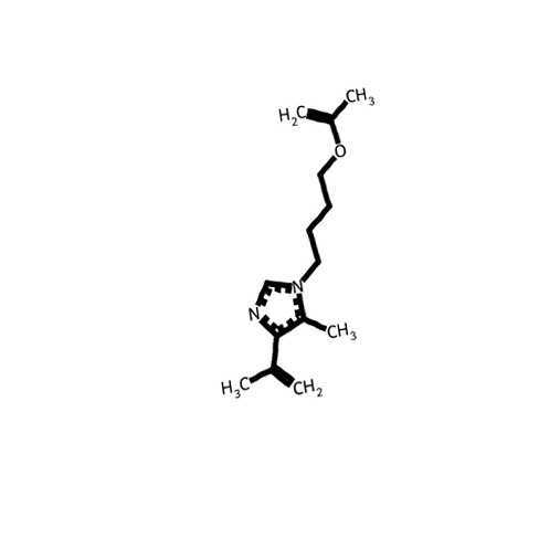 C=C(C)OCCCCn1cnc(C(=C)C)c1C